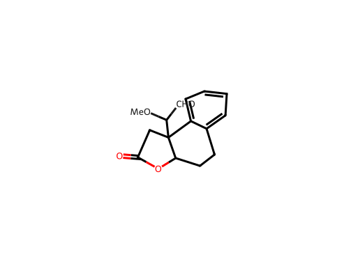 COC(C=O)C12CC(=O)OC1CCc1ccccc12